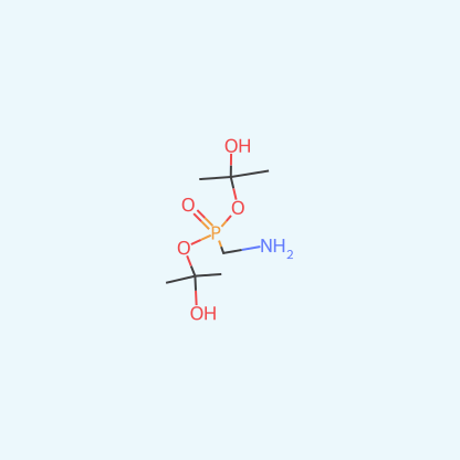 CC(C)(O)OP(=O)(CN)OC(C)(C)O